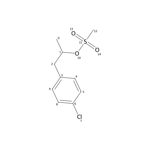 CC(Cc1ccc(Cl)cc1)OS(C)(=O)=O